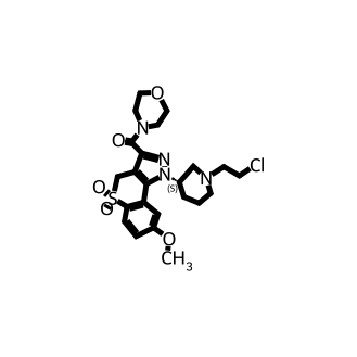 COc1ccc2c(c1)-c1c(c(C(=O)N3CCOCC3)nn1[C@H]1CCCN(CCCl)C1)CS2(=O)=O